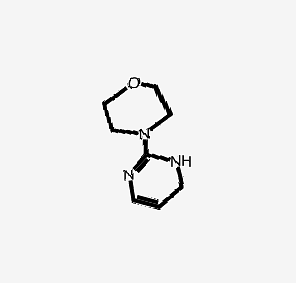 C1=CN=C(N2CCOCC2)NC1